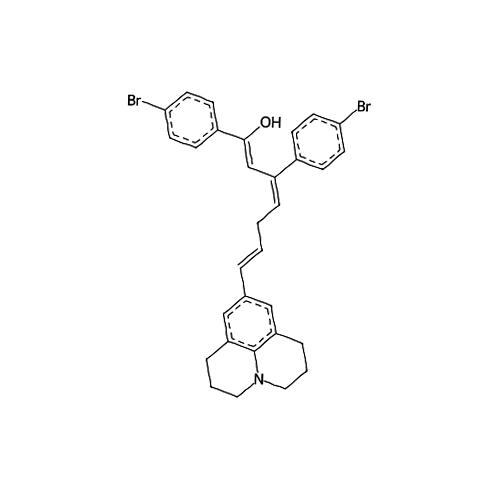 O/C(=C\C(=C/C/C=C/c1cc2c3c(c1)CCCN3CCC2)c1ccc(Br)cc1)c1ccc(Br)cc1